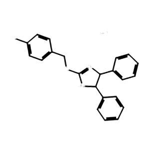 Cl.Clc1ccc(CSC2=NC(c3ccccc3)C(c3ccccc3)N2)cc1